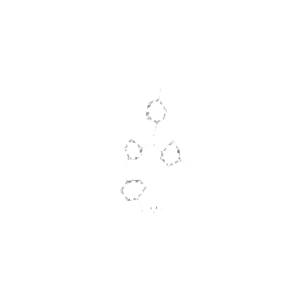 COc1ccc(Sc2ccc([S+](c3ccc(C)cc3)c3ccc(C)cc3)s2)cc1